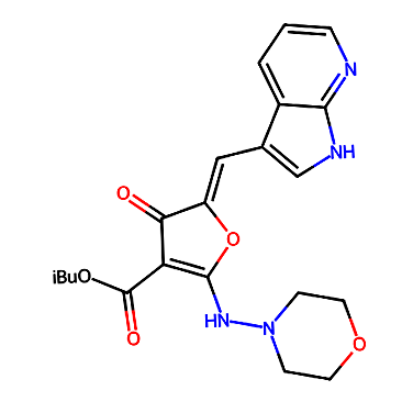 CC(C)COC(=O)C1=C(NN2CCOCC2)O/C(=C\c2c[nH]c3ncccc23)C1=O